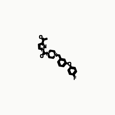 CC(=O)c1ccn(C(=O)N2CCN(Cc3cccc(Oc4ccc(F)cc4)c3)CC2)n1